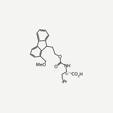 COCc1cccc2c1C(CCOC(=O)N[C@@H](CC(C)C)C(=O)O)c1ccccc1-2